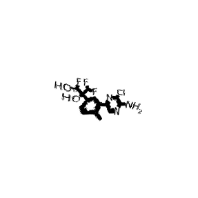 Cc1ccc(C(O)(C(F)F)[C@@H](O)F)cc1-c1cnc(N)c(Cl)n1